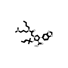 C/C=C/C(C)(C)C[C@H]1[C@H](C(=O)O)[C@@H](c2ccc3c(c2)OCO3)CN1CC(=O)N(CCCC)CCCN(C)C